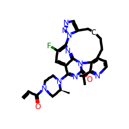 C=CC(=O)N1CCN(c2nc(=O)n3c4nc(c(F)cc24)-n2nncc2CCCCc2ccnc(C(C)C)c2-3)[C@@H](C)C1